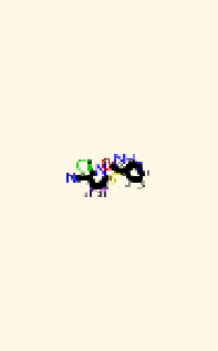 N#Cc1c(Cl)nc(SC(C(N)=O)c2ccccc2)c(I)c1I